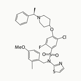 COc1ccc(CN(c2nccs2)S(=O)(=O)c2cc(Cl)c(OC3CCN([C@H](C)c4ccccc4)CC3)cc2F)c(C)c1